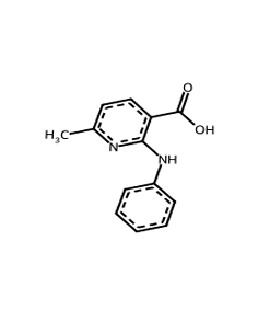 Cc1ccc(C(=O)O)c(Nc2ccccc2)n1